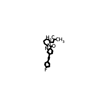 CC(C)CC1CCCCc2nc3cc(C#Cc4ccc(F)cc4)ccc3c(=O)n21